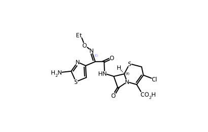 CCO/N=C(/C(=O)NC1C(=O)N2C(C(=O)O)=C(Cl)CS[C@H]12)c1csc(N)n1